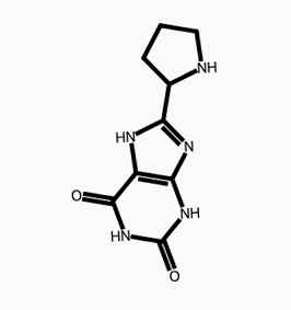 O=c1[nH]c(=O)c2[nH]c(C3CCCN3)nc2[nH]1